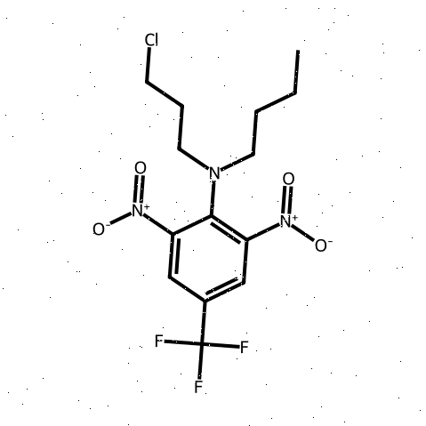 CCCCN(CCCCl)c1c([N+](=O)[O-])cc(C(F)(F)F)cc1[N+](=O)[O-]